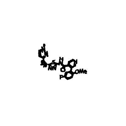 COc1ccc(F)cc1-c1cnccc1C(=O)Nc1nnc([C@@H]2C[C@H]2c2ccn(C)n2)s1